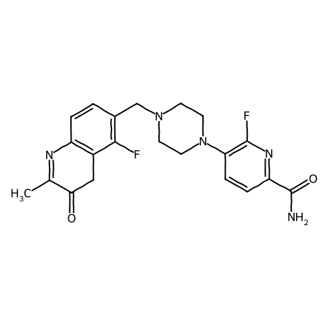 CC1=Nc2ccc(CN3CCN(c4ccc(C(N)=O)nc4F)CC3)c(F)c2CC1=O